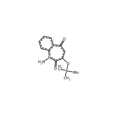 CC(C)(C)[Si](C)(C)Oc1cc(=O)c2ccccc2n(N)c1=O